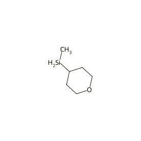 C[SiH2]C1CCOCC1